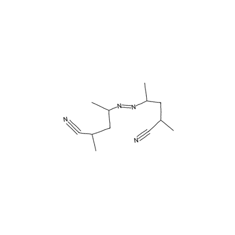 CC(C#N)CC(C)N=NC(C)CC(C)C#N